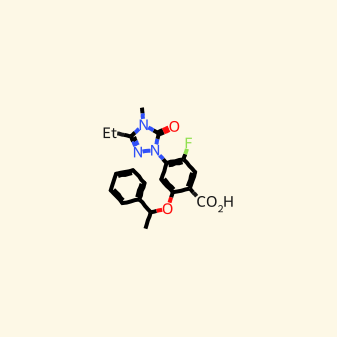 CCc1nn(-c2cc(OC(C)c3ccccc3)c(C(=O)O)cc2F)c(=O)n1C